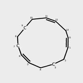 C1=CCCCC=CCCCCC=CC1